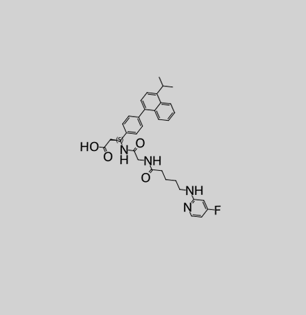 CC(C)c1ccc(-c2ccc([C@H](CC(=O)O)NC(=O)CNC(=O)CCCCNc3cc(F)ccn3)cc2)c2ccccc12